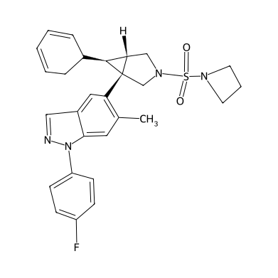 Cc1cc2c(cnn2-c2ccc(F)cc2)cc1[C@]12CN(S(=O)(=O)N3CCC3)C[C@H]1[C@@H]2C1C=CC=CC1